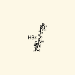 Br.CN(C)C1=NC(N(C)CCCCCN2CCCC2)SS1